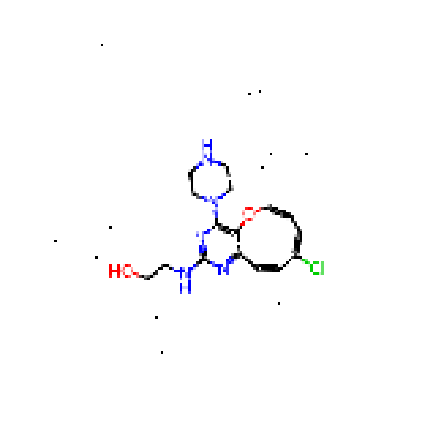 OCCNc1nc(N2CCNCC2)c2occcc(Cl)ccc2n1